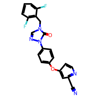 N#Cc1cc(Oc2ccc(-n3ncn(Cc4c(F)cccc4F)c3=O)cc2)ccn1